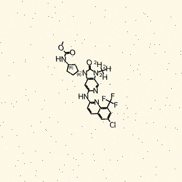 [2H]C([2H])([2H])n1c(=O)n([C@@H]2CC[C@@H](NC(=O)OC)C2)c2cc(Nc3ccc4cc(Cl)cc(C(F)(F)F)c4n3)ncc21